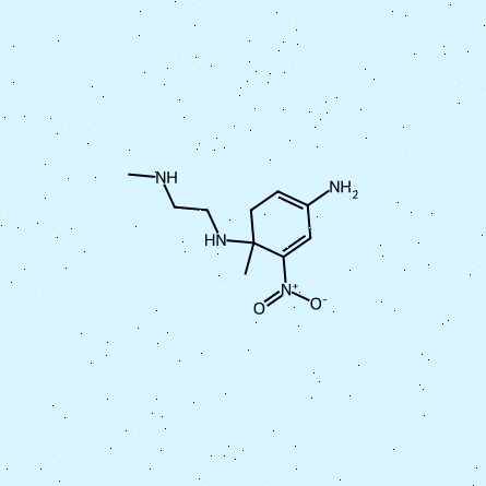 CNCCNC1(C)CC=C(N)C=C1[N+](=O)[O-]